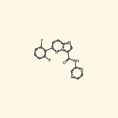 O=C(Nc1cnccn1)c1cnc2ccc(-c3c(F)cccc3F)nn12